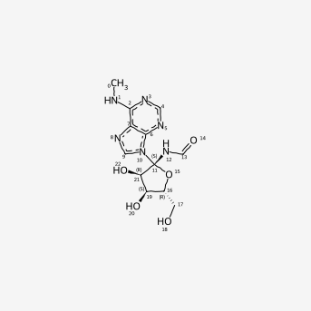 CNc1ncnc2c1ncn2[C@]1(NC=O)O[C@H](CO)[C@@H](O)[C@H]1O